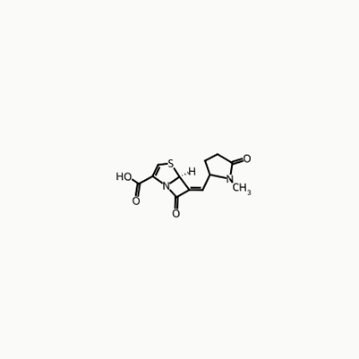 CN1C(=O)CCC1/C=C1/C(=O)N2C(C(=O)O)=CS[C@@H]12